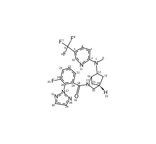 CN(c1ccc(C(F)(F)F)cn1)C1C[C@H]2CC1N(C(=O)c1cccc(F)c1-n1nccn1)C2